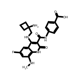 CNc1cc(F)cc2c(NCC3(N)CCC3)c(C(=O)Nc3ccc(C(=O)O)cc3)c(=O)[nH]c12